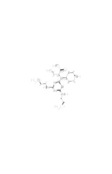 C=CCNc1nc(NCC=C)nc(N(C2CCNCC2)[C@@H](CS)C(=O)O)n1